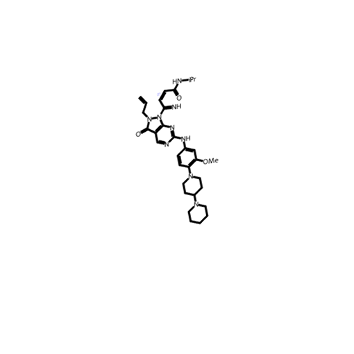 C=CCn1c(=O)c2cnc(Nc3ccc(N4CCC(N5CCCCC5)CC4)c(OC)c3)nc2n1C(=N)/C=C\C(=O)NC(C)C